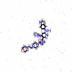 CC(C)Nc1cc(Nc2ccc3ncsc3c2)ncc1-c1nnc(N2CCN(CCN3CCOCC3)CC2)o1